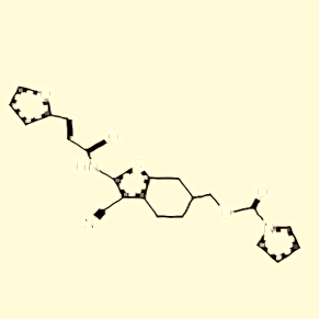 N#Cc1c(NC(=O)C=Cc2ccco2)sc2c1CCC(COC(=O)n1cccc1)C2